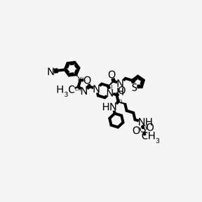 C[C@@H]1N=C(N2CCN(C(=O)[C@@H](CCCCNS(C)(=O)=O)NC3CCCCC3)[C@H](C(=O)NCc3cccs3)C2)O[C@H]1c1cccc(C#N)c1